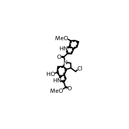 COC(=O)c1cc2c3c(cc(O)c2[nH]1)N(C(=O)c1cc2cccc(OC)c2[nH]1)CC3CCl